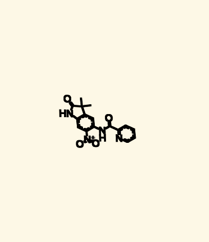 CC1(C)C(=O)Nc2cc([N+](=O)[O-])c(NC(=O)c3ccccn3)cc21